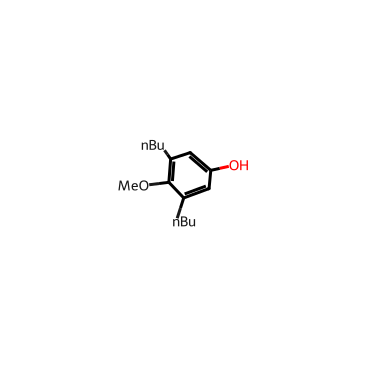 CCCCc1cc(O)cc(CCCC)c1OC